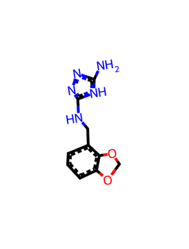 Nc1nnc(NCc2cccc3c2OCO3)[nH]1